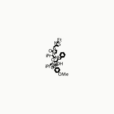 CCc1nc(CN2CCN([C@H](C(=O)N[C@@H](Cc3ccccc3)[C@@H](O)CN(CC(C)C)S(=O)(=O)c3ccc(OC)cc3)C(C)C)C2=O)cs1